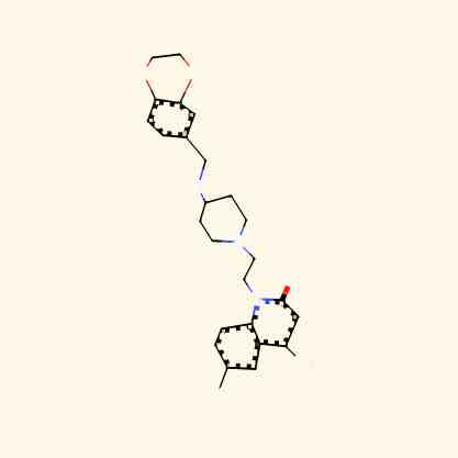 Cc1ccc2c(c1)c(C)cc(=O)n2CCN1CCC(NCc2ccc3c(c2)OCCO3)CC1